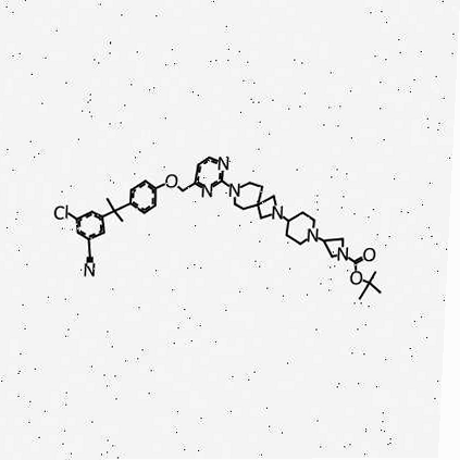 CC(C)(C)OC(=O)N1CC(N2CCC(N3CC4(CCN(c5nccc(COc6ccc(C(C)(C)c7cc(Cl)cc(C#N)c7)cc6)n5)CC4)C3)CC2)C1